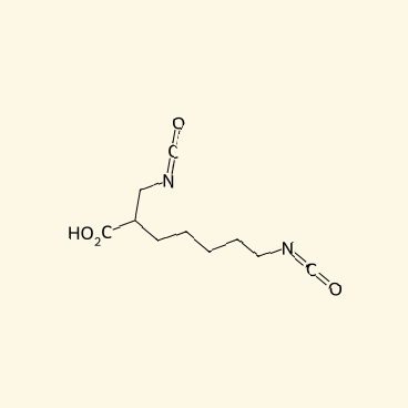 O=C=NCCCCCC(CN=C=O)C(=O)O